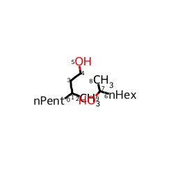 CCCCCC(C)CCO.CCCCCCC(C)O